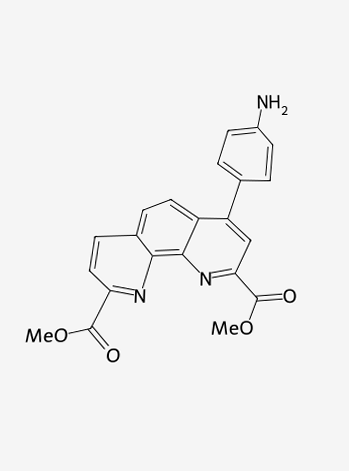 COC(=O)c1ccc2ccc3c(-c4ccc(N)cc4)cc(C(=O)OC)nc3c2n1